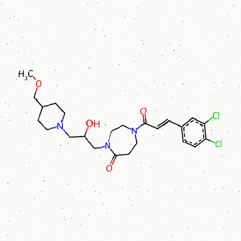 COCC1CCN(CC(O)CN2CCN(C(=O)/C=C/c3ccc(Cl)c(Cl)c3)CCC2=O)CC1